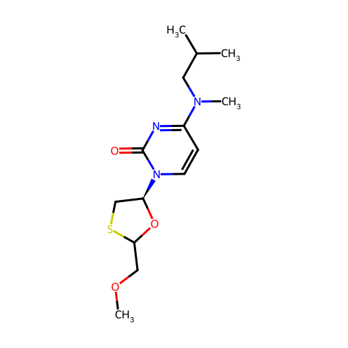 COCC1O[C@H](n2ccc(N(C)CC(C)C)nc2=O)CS1